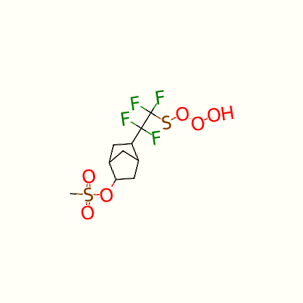 CS(=O)(=O)OC1CC2CC1CC2C(F)(F)C(F)(F)SOOO